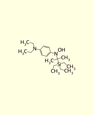 CCN(CC)c1ccc(N(O)C(C)(C)[Si](CC)(CC)CC)cc1